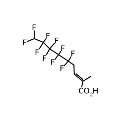 CC(=CCC(F)(F)C(F)(F)C(F)(F)C(F)(F)C(F)F)C(=O)O